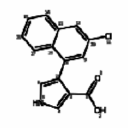 O=C(O)c1c[nH]cc1-c1cc(Cl)cc2ccccc12